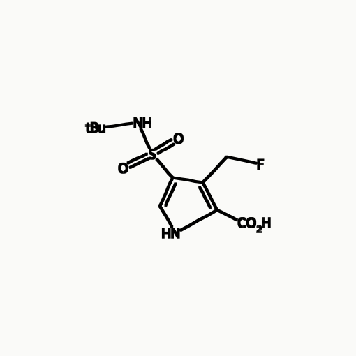 CC(C)(C)NS(=O)(=O)c1c[nH]c(C(=O)O)c1CF